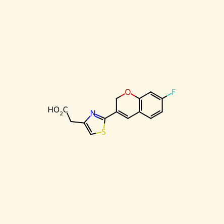 O=C(O)Cc1csc(C2=Cc3ccc(F)cc3OC2)n1